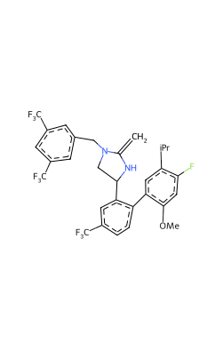 C=C1NC(c2cc(C(F)(F)F)ccc2-c2cc(C(C)C)c(F)cc2OC)CN1Cc1cc(C(F)(F)F)cc(C(F)(F)F)c1